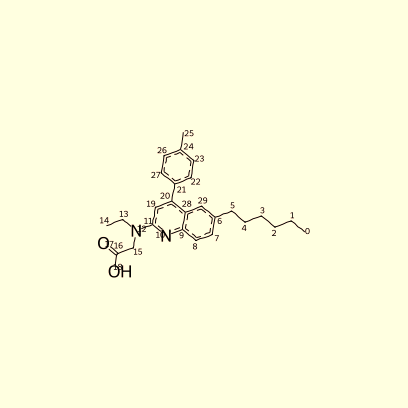 CCCCCCc1ccc2nc(N(CC)CC(=O)O)cc(-c3ccc(C)cc3)c2c1